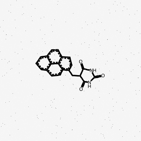 O=C1NC(=O)C(Cc2ccc3ccc4cccc5ccc2c3c45)C(=O)N1